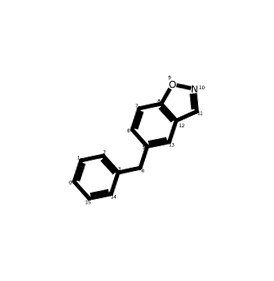 c1ccc(Cc2ccc3oncc3c2)cc1